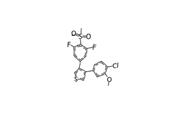 COc1cc(-c2cscc2-c2cc(F)c(S(C)(=O)=O)c(F)c2)ccc1Cl